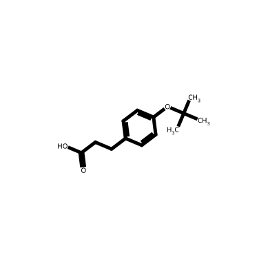 CC(C)(C)Oc1ccc(CCC(=O)O)cc1